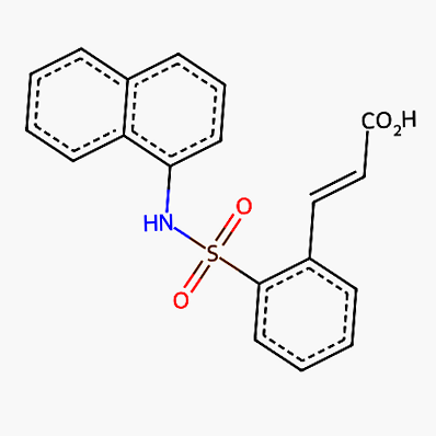 O=C(O)/C=C/c1ccccc1S(=O)(=O)Nc1cccc2ccccc12